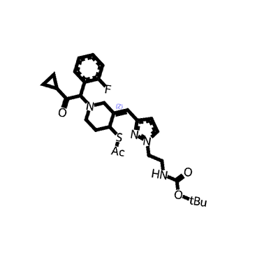 CC(=O)SC1CCN(C(C(=O)C2CC2)c2ccccc2F)C/C1=C/c1ccn(CCNC(=O)OC(C)(C)C)n1